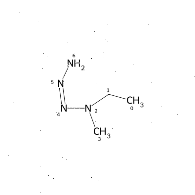 CCN(C)/N=N\N